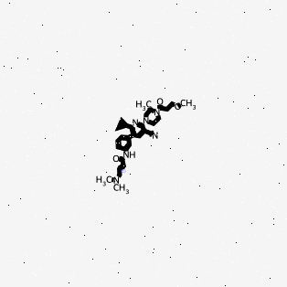 COCCC(=O)N1CCN(c2nc(C3CC3)c(-c3cccc(NC(=O)/C=C/CN(C)C)c3)cc2C#N)CC1C